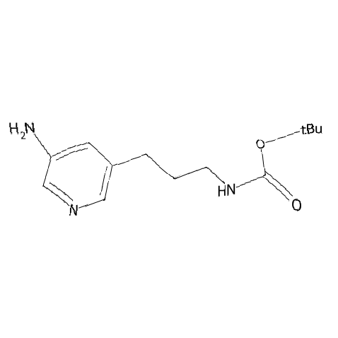 CC(C)(C)OC(=O)NCCCc1cncc(N)c1